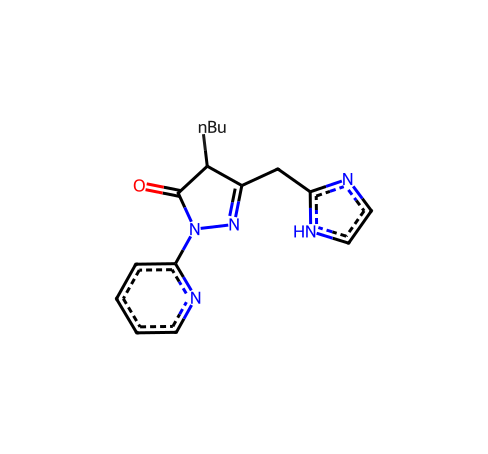 CCCCC1C(=O)N(c2ccccn2)N=C1Cc1ncc[nH]1